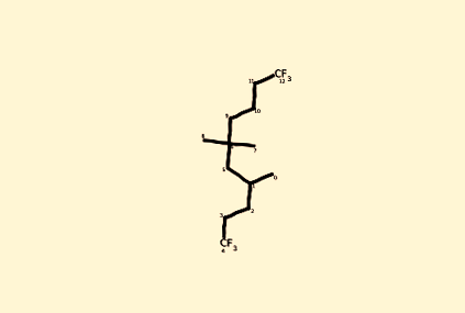 CC(CCC(F)(F)F)CC(C)(C)CCCC(F)(F)F